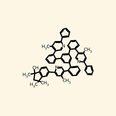 Cc1cc(-c2ccccc2)ncc1-c1ccccc1-c1cc(-c2ccccc2-c2cnc(-c3ccccc3)cc2C)cc(-c2ccccc2-c2cnc(-c3ccc4c(c3)C(C)(C)CC4(C)C)cc2C)c1